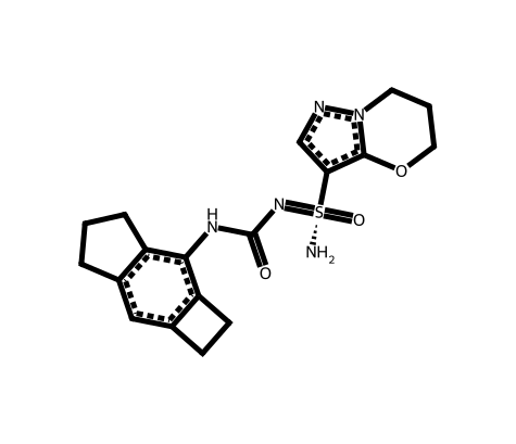 N[S@](=O)(=NC(=O)Nc1c2c(cc3c1CC3)CCC2)c1cnn2c1OCCC2